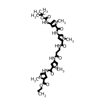 C=CCOC(=O)c1cc(NC(=O)c2cc(NC(=O)CCNC(=O)c3cc(NC(=O)c4cc(NC(=O)OC(C)(C)C)cn4C)cn3C)cn2C)cn1C